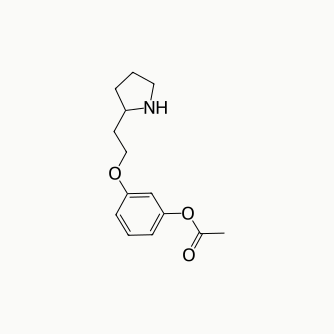 CC(=O)Oc1cccc(OCCC2CCCN2)c1